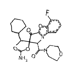 CC(C(=O)N1CCOCC1)C(OC(N)=O)(C(=O)c1nc2cccc(F)c2o1)C(C)C1CCCCC1